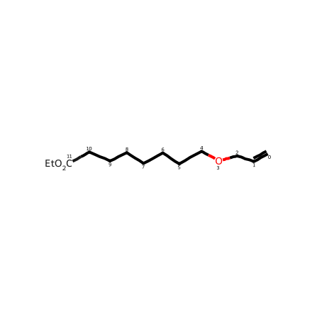 C=CCOCCCCCCCC(=O)OCC